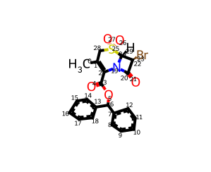 CC1=C(C(=O)OC(c2ccccc2)c2ccccc2)N2C(=O)[C@H](Br)[C@H]2S(=O)(=O)C1